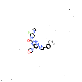 Cc1cccc(-c2ccn(-c3cc(N4CCOCC4)c4nc(C(=O)N5CCC(N6CCC6)C(F)C5)[nH]c4n3)n2)c1